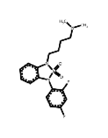 CN(C)CCCCN1c2ccccc2N(c2ccc(F)cc2F)S1(=O)=O